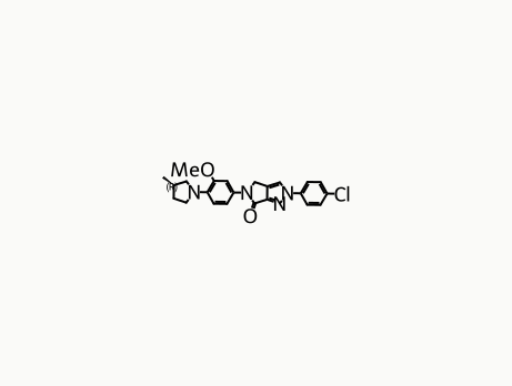 COc1cc(N2Cc3cn(-c4ccc(Cl)cc4)nc3C2=O)ccc1N1CC[C@@H](C)C1